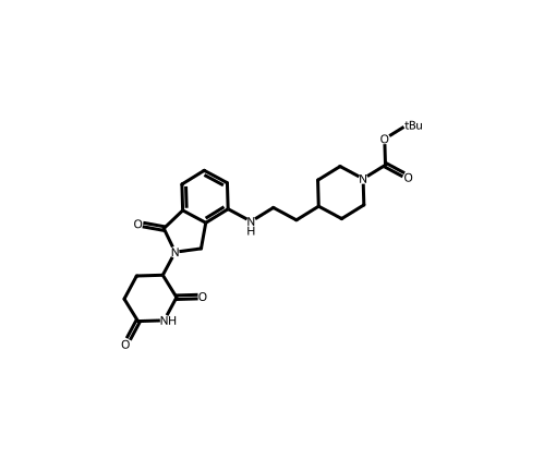 CC(C)(C)OC(=O)N1CCC(CCNc2cccc3c2CN(C2CCC(=O)NC2=O)C3=O)CC1